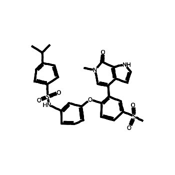 CC(C)c1ccc(S(=O)(=O)Nc2cccc(Oc3ccc(S(C)(=O)=O)cc3-c3cn(C)c(=O)c4[nH]ccc34)c2)cc1